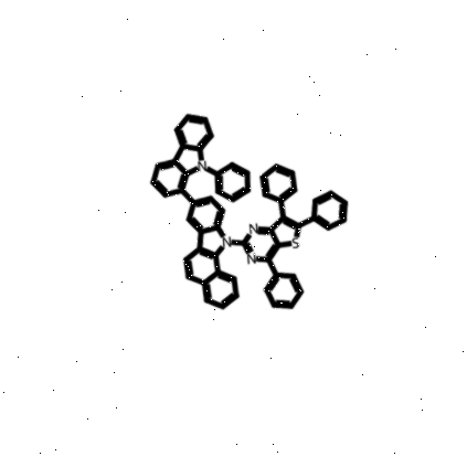 c1ccc(-c2sc3c(-c4ccccc4)nc(-n4c5ccc(-c6cccc7c8ccccc8n(-c8ccccc8)c67)cc5c5ccc6ccccc6c54)nc3c2-c2ccccc2)cc1